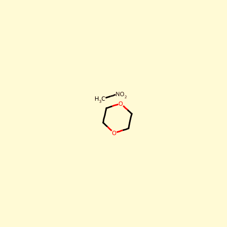 C1COCCO1.C[N+](=O)[O-]